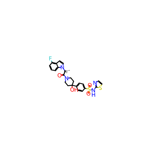 C[C@H](C(=O)N1CCC(O)(c2ccc(S(=O)(=O)Nc3nccs3)cc2)CC1)n1ccc2c(F)cccc21